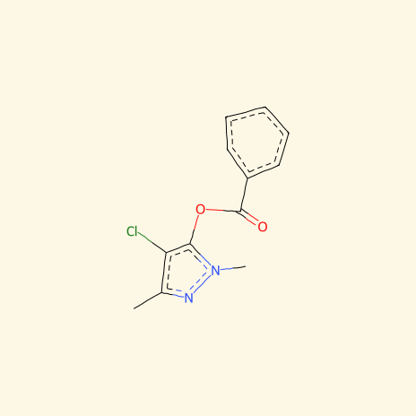 Cc1nn(C)c(OC(=O)c2ccccc2)c1Cl